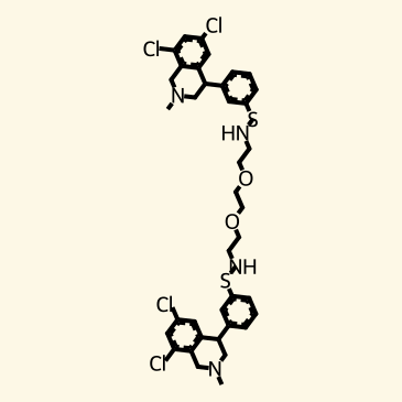 CN1Cc2c(Cl)cc(Cl)cc2C(c2cccc(SNCCOCCOCCNSc3cccc(C4CN(C)Cc5c(Cl)cc(Cl)cc54)c3)c2)C1